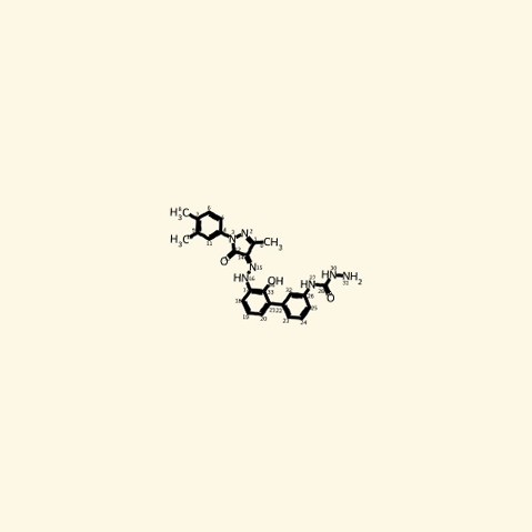 CC1=NN(c2ccc(C)c(C)c2)C(=O)/C1=N\Nc1cccc(-c2cccc(NC(=O)NN)c2)c1O